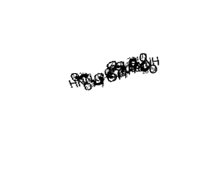 COP(=O)(OC(O)[C@@H]1CC[C@H](n2ccc(=O)[nH]c2=O)O1)OC(O)[C@@H]1CC[C@H](n2ccc(=O)[nH]c2=O)O1